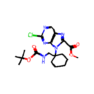 COC(=O)c1nc2cnc(Cl)nc2n1C1(CNC(=O)OC(C)(C)C)CCCCC1